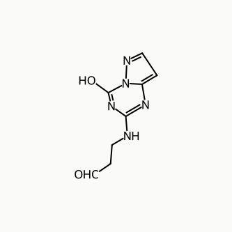 O=CCCNc1nc(O)n2nccc2n1